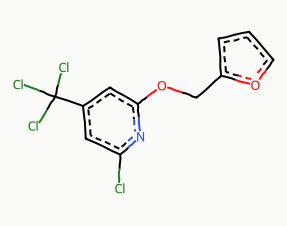 Clc1cc(C(Cl)(Cl)Cl)cc(OCc2ccco2)n1